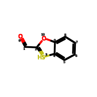 O=CC1=[SH]c2ccccc2O1